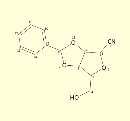 N#CC1OC(CO)C2OC(c3ccccc3)OC12